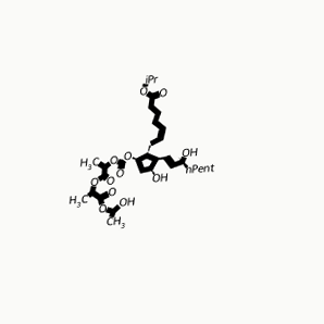 CCCCC[C@H](O)/C=C/[C@@H]1[C@@H](C/C=C\CCCC(=O)OC(C)C)[C@@H](OC(=O)OC(C)C(=O)OC(C)C(=O)OC(C)O)C[C@H]1O